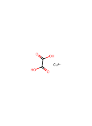 O=C(O)C(=O)O.[Cu+2]